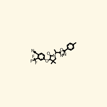 Cc1ccc(-c2nnc(C(C)N3CC(C)(C)C(Oc4ccc(C#N)c(C(F)(F)F)c4)C3=O)o2)cc1